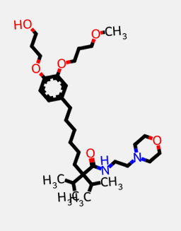 COCCCOc1cc(CCCCCCC(C(=O)NCCN2CCOCC2)(C(C)C)C(C)C)ccc1OCCCO